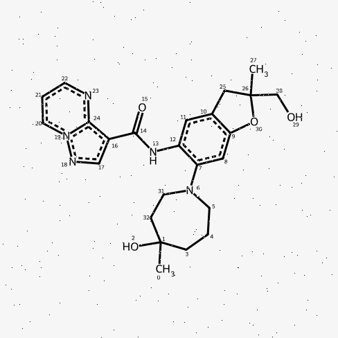 CC1(O)CCCN(c2cc3c(cc2NC(=O)c2cnn4cccnc24)CC(C)(CO)O3)CC1